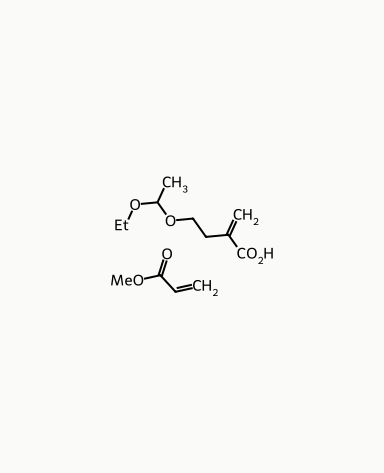 C=C(CCOC(C)OCC)C(=O)O.C=CC(=O)OC